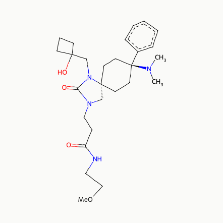 COCCNC(=O)CCN1C[C@]2(CC[C@](c3ccccc3)(N(C)C)CC2)N(CC2(O)CCC2)C1=O